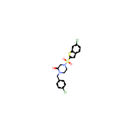 O=C1CN(S(=O)(=O)c2cc3ccc(Cl)cc3s2)CCN1Cc1ccc(Cl)cc1